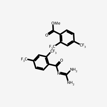 COC(=O)c1ccc(C(F)(F)F)cc1C(F)(F)F.NC(N)=NC(=O)c1ccc(C(F)(F)F)cc1C(F)(F)F